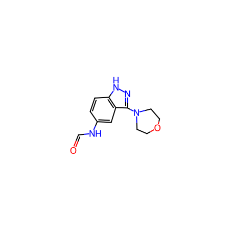 O=CNc1ccc2[nH]nc(N3CCOCC3)c2c1